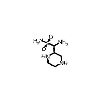 NC(C1CNCCN1)S(N)(=O)=O